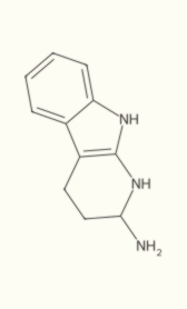 NC1CCc2c([nH]c3ccccc23)N1